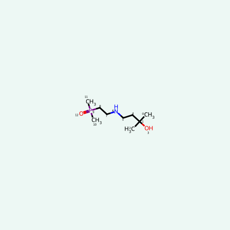 CC(C)(O)CCNCCP(C)(C)=O